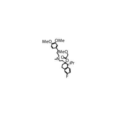 COCC(=O)O[C@@]1(CCN(C)CCCc2ccc(OC)c(OC)c2)CCc2cc(F)ccc2[C@H]1C(C)C